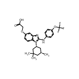 C[C@@H]1C[C@H](n2c(Nc3ccc(OC(F)(F)F)cc3)nc3cc(OCC(=O)O)ccc32)CC(C)(C)C1